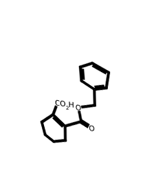 O=C(O)C1=C(C(=O)OCc2ccccc2)CCCC1